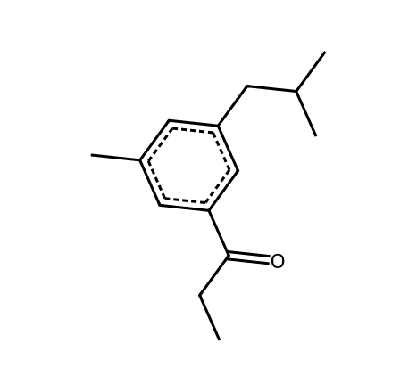 CCC(=O)c1cc(C)cc(CC(C)C)c1